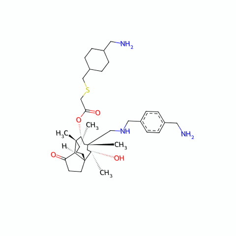 C[C@@H]1CC[C@@]23CCC(=O)[C@H]2[C@]1(C)[C@H](OC(=O)CSCC1CCC(CN)CC1)C[C@](C)(CNCc1ccc(CN)cc1)[C@@H](O)[C@@H]3C